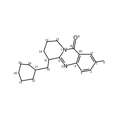 Cc1ccc2nc3n(c(=O)c2c1)CCCC3CC1CCCCC1